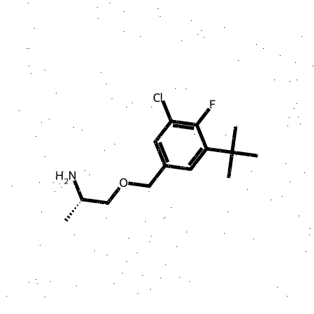 C[C@H](N)COCc1cc(Cl)c(F)c(C(C)(C)C)c1